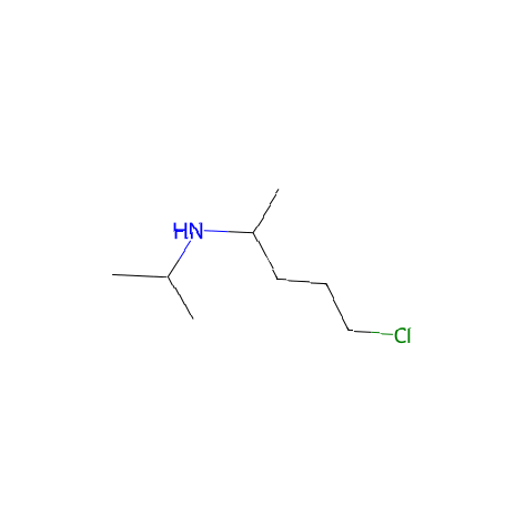 CC(C)NC(C)CCCCl